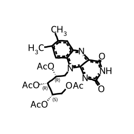 CC(=O)OC[C@H](OC(C)=O)[C@H](OC(C)=O)[C@@H](Cn1c2nc(=O)[nH]c(=O)c-2nc2cc(C)c(C)cc21)OC(C)=O